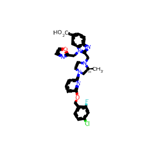 C[C@H]1CN(c2cccc(OCc3ccc(Cl)cc3F)n2)CCN1Cc1nc2ccc(C(=O)O)cc2n1Cc1ncco1